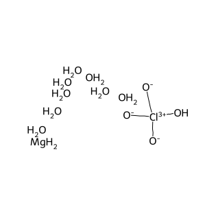 O.O.O.O.O.O.O.O.[MgH2].[O-][Cl+3]([O-])([O-])O